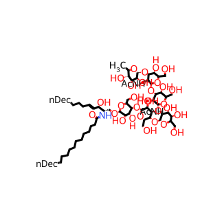 CCCCCCCCCCCCC/C=C/[C@@H](O)[C@H](CO[C@@H]1OC(CO)[C@@H](O[C@@H]2OC(CO)[C@H](O[C@@H]3OC(CO)[C@H](O)[C@H](O)C3NC(C)=O)[C@H](O[C@H]3OC(CO)[C@H](O)[C@H](O[C@@H]4OC(CO)[C@@H](O)[C@H](O[C@H]5OC(C)[C@@H](O)C(O)[C@@H]5O)C4NC(C)=O)C3O)C2O)[C@H](O)C1O)NC(=O)CCCCCCCCCCCCCCCCCCCCC